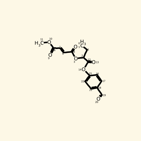 CCC(OC(=O)C=CC(=O)OC)C(=O)Oc1ccc(C=O)cc1